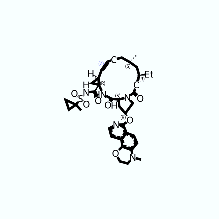 CC[C@H]1CC(=O)N2C[C@H](Oc3nccc4c5c(ccc34)N(C)CCO5)C[C@H]2C(=O)N[C@]2(C(=O)NS(=O)(=O)C3(C)CC3)C[C@H]2/C=C\CC[C@H](C)C1